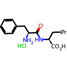 CC(C)C[C@H](NC(=O)[C@@H](N)Cc1ccccc1)C(=O)O.Cl